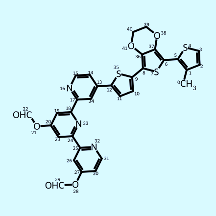 Cc1ccsc1-c1sc(-c2ccc(-c3ccnc(-c4cc(OC=O)cc(-c5cc(OC=O)ccn5)n4)c3)s2)c2c1OCCO2